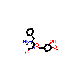 CN[C@@H](Cc1ccccc1)/C(=C\C=O)OCc1ccc(OC)c(O)c1